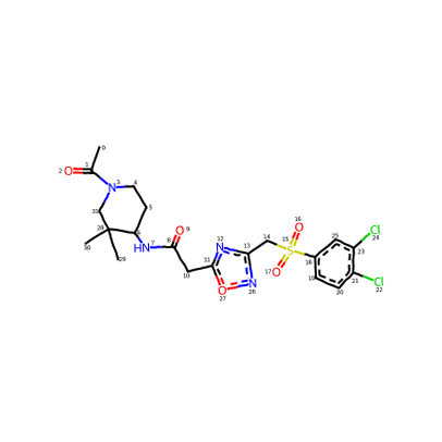 CC(=O)N1CCC(NC(=O)Cc2nc(CS(=O)(=O)c3ccc(Cl)c(Cl)c3)no2)C(C)(C)C1